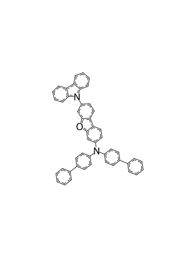 c1ccc(-c2ccc(N(c3ccc(-c4ccccc4)cc3)c3ccc4c(c3)oc3cc(-n5c6ccccc6c6ccccc65)ccc34)cc2)cc1